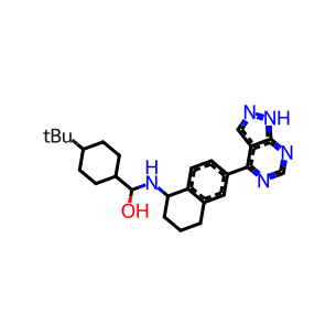 CC(C)(C)C1CCC(C(O)NC2CCCc3cc(-c4ncnc5[nH]ncc45)ccc32)CC1